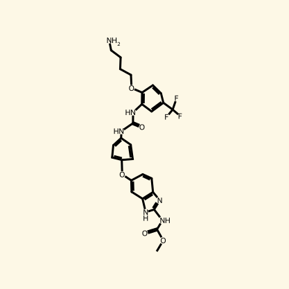 COC(=O)Nc1nc2ccc(Oc3ccc(NC(=O)Nc4cc(C(F)(F)F)ccc4OCCCCN)cc3)cc2[nH]1